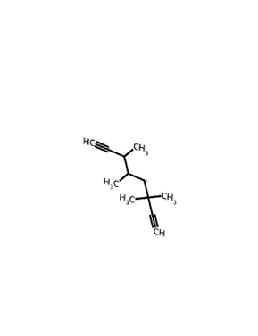 C#CC(C)C(C)[CH]C(C)(C)C#C